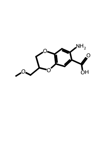 COCC1COc2cc(N)c(C(=O)O)cc2O1